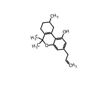 C=CCc1cc(O)c2c(c1)OC(C)(C)C1=C2CC(C)CC1